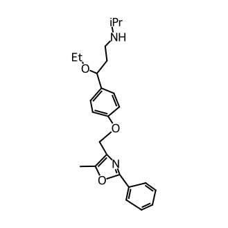 CCOC(CCNC(C)C)c1ccc(OCc2nc(-c3ccccc3)oc2C)cc1